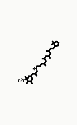 CCCC(C)(C)C(C)C(C)CC(C)CC(C)CN(C)CCCC(C)CC(C)CC(C)CC(C)CCC1CCCC1(C)C